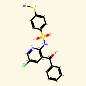 CC(C)(C)Sc1ccc(S(=O)(=O)Nc2ncc(Cl)cc2C(=O)c2ccccc2)cc1